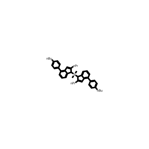 CCCCc1ccc(-c2cccc3c2C=C(CCC)C3[Si](C)(C)C2C(CCC)=Cc3c(-c4ccc(CCCC)cc4)cccc32)cc1